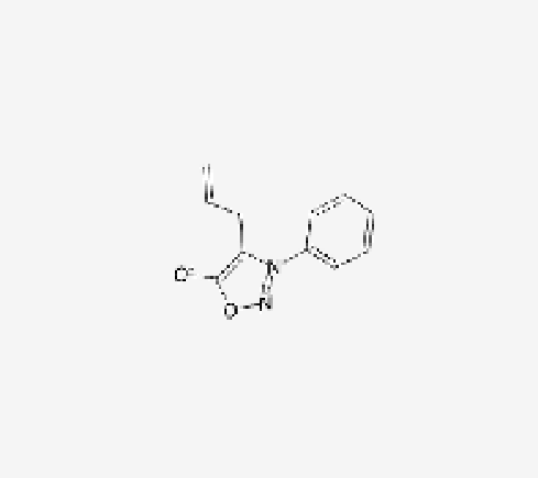 C=CCc1c([O-])on[n+]1-c1ccccc1